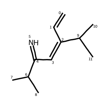 C=C/C(=C\C(=N)C(C)C)C(C)C